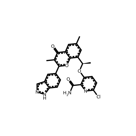 Cc1cc([C@@H](C)Oc2ccc(Cl)nc2C(N)=O)c2oc(-c3ccc4[nH]ncc4c3)c(C)c(=O)c2c1